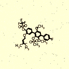 COc1cc(-c2ccc(F)cc2)c(OC)c(OS(C)(=O)=O)c1-c1ccc(OS(=O)(=O)C(F)(F)F)c(OCC=C(C)C)c1